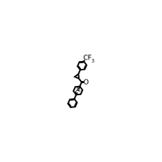 O=C(C1CC1c1ccc(C(F)(F)F)cc1)C12CCC(c3ccccc3)(CC1)CC2